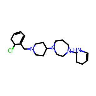 ClC1CC=CC=C1CN1CCC(N2CCCN(C3CCC=CN3)CC2)CC1